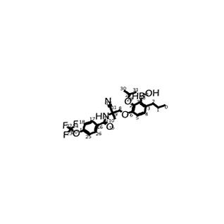 CCCc1ccc(OCC(C)(C#N)NC(=O)c2ccc(OC(F)(F)F)cc2)c(OC(C)C)c1BO